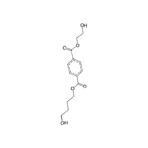 O=C(OCCO)c1ccc(C(=O)OCCCCO)cc1